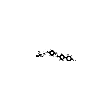 C=CC(=O)OCOC(=O)c1ccc(OC(=O)C2CCC(C3CCC(CC)CC3)CC2)cc1